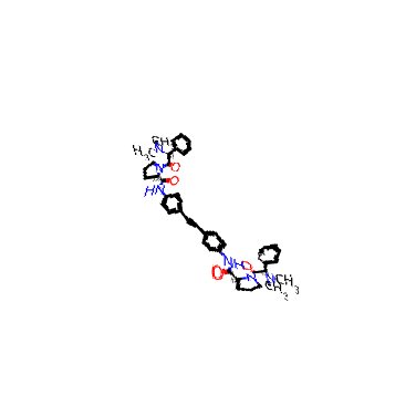 CN(C)[C@H](C(=O)N1CCC[C@H]1C(=O)Nc1ccc(C#Cc2ccc(NC(=O)[C@@H]3CCCN3C(=O)[C@H](c3ccccc3)N(C)C)cc2)cc1)c1ccccc1